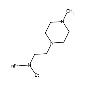 CCCN(CC)CCN1CCN(C)CC1